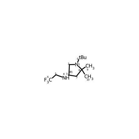 CC(C)(C)N1C[C@H](NCC(F)(F)F)CC1(C)C